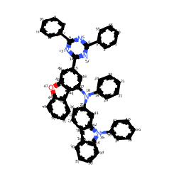 c1ccc(-c2nc(-c3ccccc3)nc(-c3cc(N(c4ccccc4)c4ccc5c6ccccc6n(-c6ccccc6)c5c4)c4c(c3)oc3ccccc34)n2)cc1